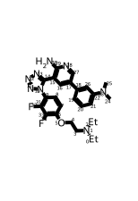 CCN(CC)CCOc1ccc(-n2nnnc2-c2cc(-c3cccc(N(C)C)c3)cnc2N)c(F)c1F